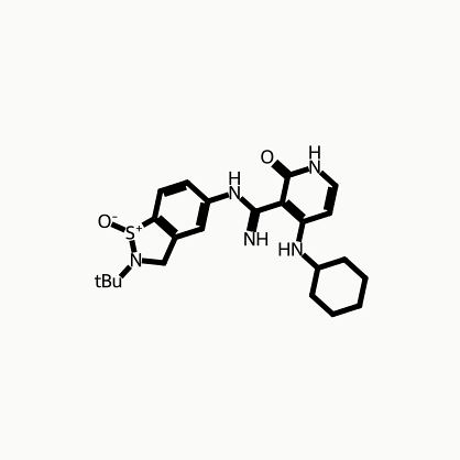 CC(C)(C)N1Cc2cc(NC(=N)c3c(NC4CCCCC4)cc[nH]c3=O)ccc2[S+]1[O-]